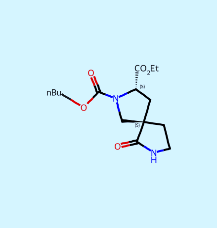 CCCCOC(=O)N1C[C@]2(CCNC2=O)C[C@H]1C(=O)OCC